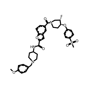 COc1ccc(CN2CCC(NC(=O)c3cc4cc(C(=O)N5CC[C@H](Oc6ccc(S(C)(=O)=O)cc6)[C@@H](F)C5)ccc4o3)CC2)cc1